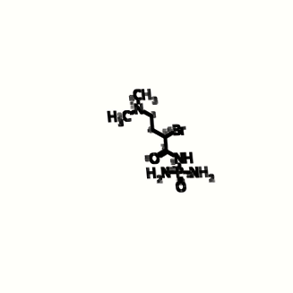 CN(C)CCC(Br)C(=O)NP(N)(N)=O